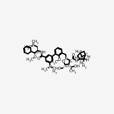 C=C1[C@H]2C[C@H](NC(=O)[C@@H]3[C@H]([C@H](C)O)[C@H](CO)ON3Cc3cccc(-c4cc(C(=O)N[C@H](CN(C)C)[C@H](OC)C5C=CC=CC5)cc(N(C)C)c4)c3OC)[C@@H](C)[C@@H]1C2